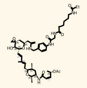 C=C(C[C@@H]1C[C@@]2(CO2)[C@H](O)[C@@H](/C=C/C(C)=C/C[C@@H]2O[C@H](C)[C@H](NC(=O)/C=C\[C@H](C)OC(C)=O)C[C@@H]2C)O1)NCc1ccc(NC(=O)CNC(=O)CCCCCNC(=O)CC)cc1